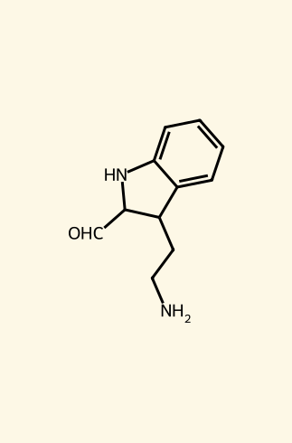 NCCC1c2ccccc2NC1C=O